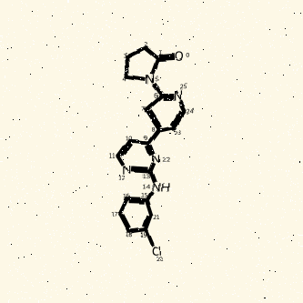 O=C1CCCN1c1cc(-c2ccnc(Nc3cccc(Cl)c3)n2)ccn1